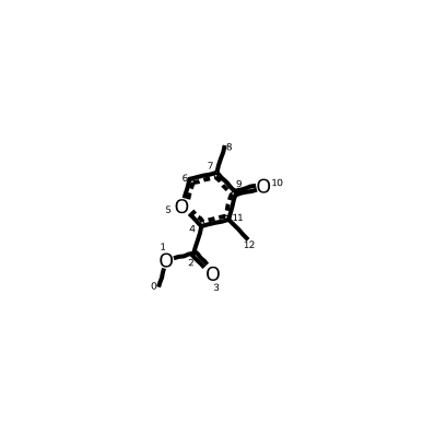 COC(=O)c1occ(C)c(=O)c1C